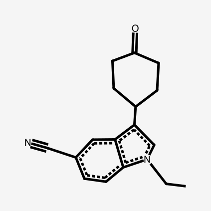 CCn1cc(C2CCC(=O)CC2)c2cc(C#N)ccc21